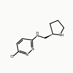 Clc1ccc(NC[C@H]2CCCN2)nn1